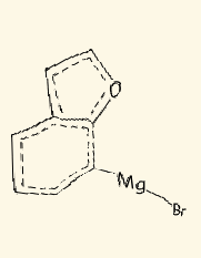 [Br][Mg][c]1cccc2ccoc12